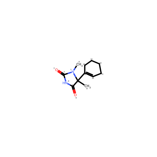 CN1C(=O)NC(=O)C1(C)C1=CCCCC1